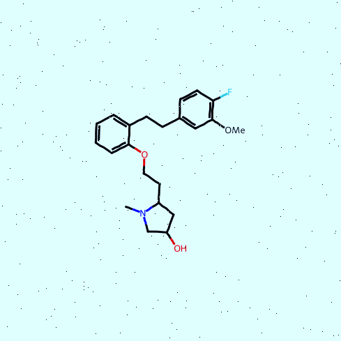 COc1cc(CCc2ccccc2OCCC2CC(O)CN2C)ccc1F